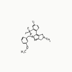 COc1cccc(Cn2nc3c(c2-c2ccc(Cl)cc2C(F)(F)F)CN(C)C3)c1